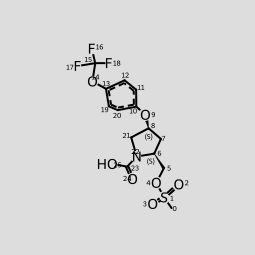 CS(=O)(=O)OC[C@@H]1C[C@H](Oc2ccc(OC(F)(F)F)cc2)CN1C(=O)O